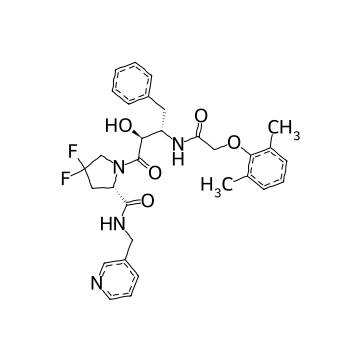 Cc1cccc(C)c1OCC(=O)N[C@@H](Cc1ccccc1)[C@H](O)C(=O)N1CC(F)(F)C[C@H]1C(=O)NCc1cccnc1